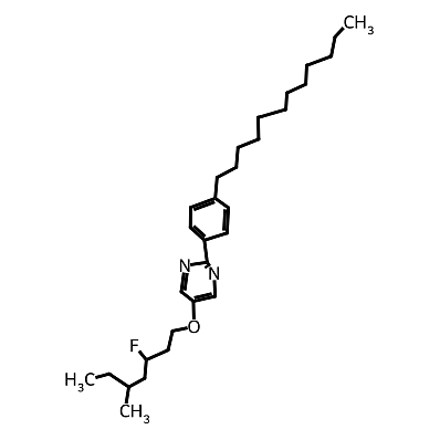 CCCCCCCCCCCCc1ccc(-c2ncc(OCCC(F)CC(C)CC)cn2)cc1